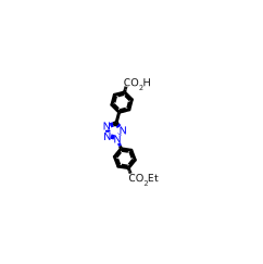 CCOC(=O)c1ccc(-n2nnc(-c3ccc(C(=O)O)cc3)n2)cc1